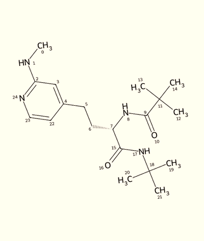 CNc1cc(CC[C@H](NC(=O)C(C)(C)C)C(=O)NC(C)(C)C)ccn1